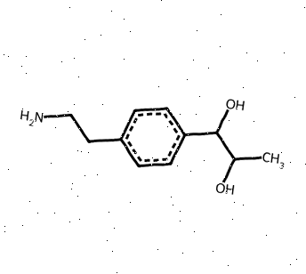 CC(O)C(O)c1ccc(CCN)cc1